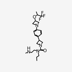 CCCN(CCNC)C(=O)N1CC(c2ccc(N3CC(OC(C)C(F)(F)F)C3)cc2)C1